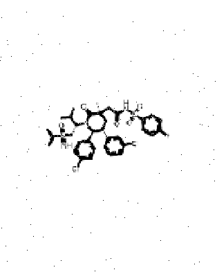 CC(C)[C@@H](CS(=N)(=O)C(C)C)N1C(=O)[C@@](C)(CC(=O)NS(=O)(=O)c2ccc(F)cc2)C[C@H](c2cccc(Cl)c2)[C@H]1c1ccc(Cl)cc1